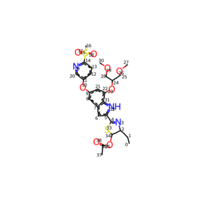 CCC1N=C(c2cc3cc(Oc4ccc(S(C)(=O)=O)nc4)cc(OC(COC)COC)c3[nH]2)SC1OC(C)=O